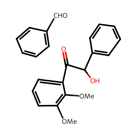 COc1cccc(C(=O)C(O)c2ccccc2)c1OC.O=Cc1ccccc1